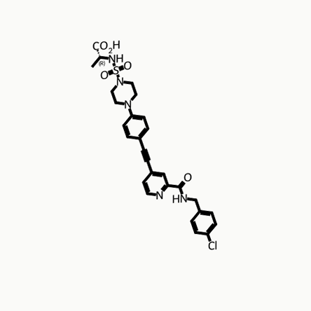 C[C@@H](NS(=O)(=O)N1CCN(c2ccc(C#Cc3ccnc(C(=O)NCc4ccc(Cl)cc4)c3)cc2)CC1)C(=O)O